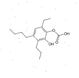 CCCCc1cc(CC)c(OC(=O)O)c(O)c1CCC